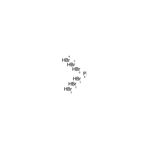 Br.Br.Br.Br.Br.Br.[P]